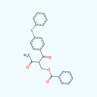 CC(=O)C(COC(=O)c1ccccc1)C(=O)c1ccc(Sc2ccccc2)cc1